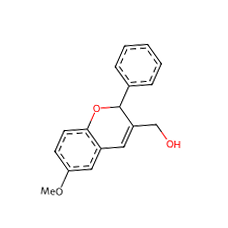 COc1ccc2c(c1)C=C(CO)C(c1ccccc1)O2